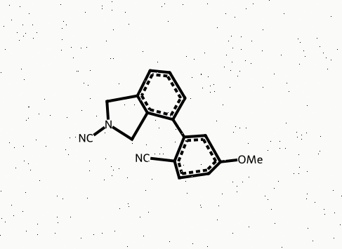 COc1ccc(C#N)c(-c2cccc3c2CN(C#N)C3)c1